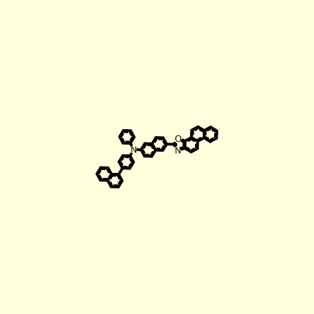 c1ccc(N(c2ccc(-c3cccc4ccccc34)cc2)c2ccc3cc(-c4nc5ccc6c7ccccc7ccc6c5o4)ccc3c2)cc1